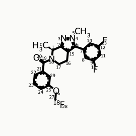 C[C@H]1c2nn(C)c(-c3cc(F)cc(F)c3)c2CCN1C(=O)c1cccc(OC[18F])c1